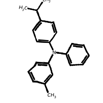 Cc1cccc(N(c2ccccc2)c2ccc(C(C)C)cc2)c1